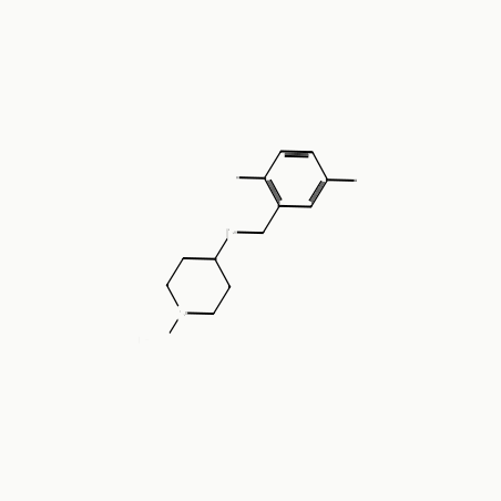 O=C(O)N1CCC(NCc2cc(F)ccc2O)CC1